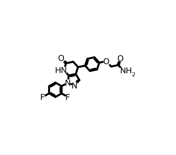 NC(=O)COc1ccc(C2CC(=O)Nc3c2cnn3-c2ccc(F)cc2F)cc1